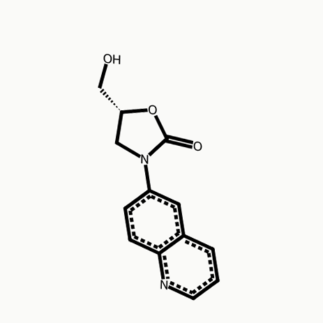 O=C1O[C@@H](CO)CN1c1ccc2ncccc2c1